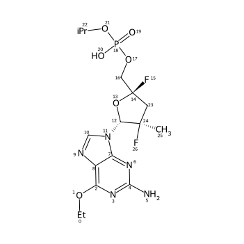 CCOc1nc(N)nc2c1ncn2[C@@H]1O[C@](F)(COP(=O)(O)OC(C)C)C[C@@]1(C)F